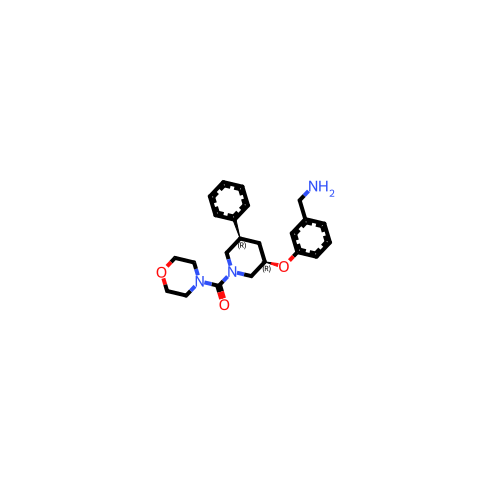 NCc1cccc(O[C@@H]2C[C@H](c3ccccc3)CN(C(=O)N3CCOCC3)C2)c1